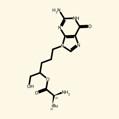 CC[C@H](C)[C@H](N)C(=O)OC(CO)CCCn1cnc2c(=O)[nH]c(N)nc21